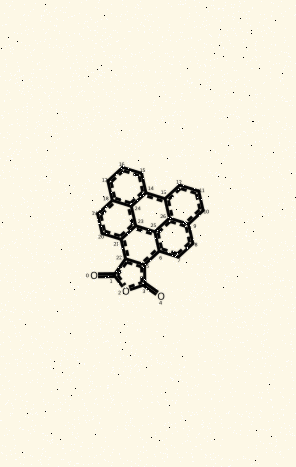 O=c1oc(=O)c2c3ccc4cccc5c6cccc7ccc(c12)c(c76)c3c45